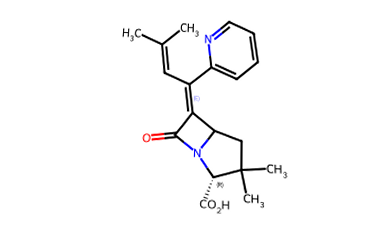 CC(C)=C/C(=C1\C(=O)N2C1CC(C)(C)[C@@H]2C(=O)O)c1ccccn1